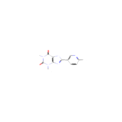 Cn1c(=O)c2[nH]c(-c3ccc(C(F)(F)F)nc3)nc2n(C)c1=O